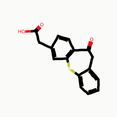 O=C(O)Cc1ccc2c(c1)Sc1ccccc1CC2=O